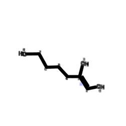 O/C=C(\O)CCCCO